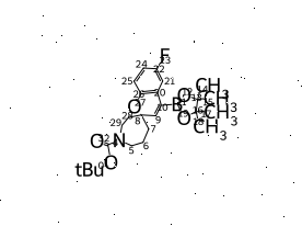 CC(C)(C)OC(=O)N1CCCC2(C=C(B3OC(C)(C)C(C)(C)O3)c3cc(F)ccc3O2)CC1